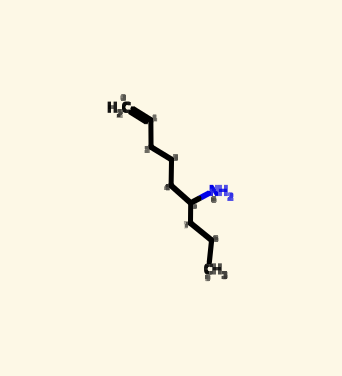 C=CCCCC(N)CCC